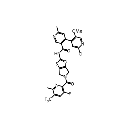 COc1cnc(Cl)cc1-c1cc(C)ncc1C(=O)Nc1nc2c(s1)CN(C(=O)c1nc(C)c(C(F)(F)F)cc1F)C2